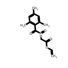 C=COC(=O)C[PH](=O)C(=O)c1c(C)cc(C)cc1C